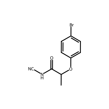 CC(Oc1ccc(Br)cc1)C(=O)NC#N